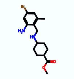 COC(=O)C1CCC(NCc2c(C)cc(Br)cc2N)CC1